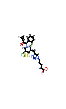 Cl.O=C(O)CCCCn1cc(C=C2CN(C(C(=O)C3CC3)c3ccccc3F)CCC2S)nn1